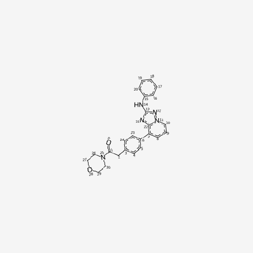 O=C(Cc1ccc(-c2cccn3nc(Nc4ccccc4)nc23)cc1)N1CCOCC1